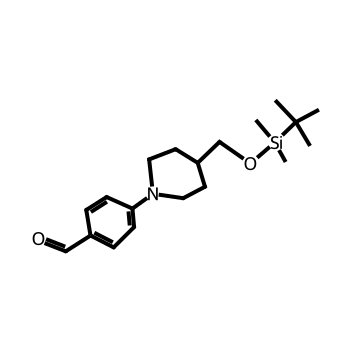 CC(C)(C)[Si](C)(C)OCC1CCN(c2ccc(C=O)cc2)CC1